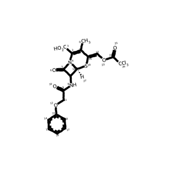 CC1=C(C(=O)O)N2C(=O)C(NC(=O)COc3ccccc3)[C@@H]2SC1=COC(=O)C(Cl)(Cl)Cl